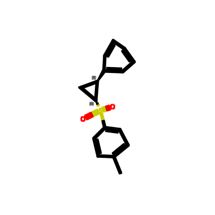 Cc1ccc(S(=O)(=O)[C@@H]2C[C@H]2c2ccccc2)cc1